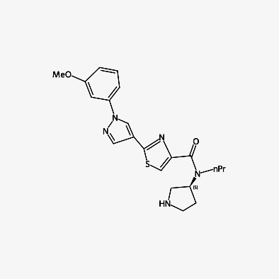 CCCN(C(=O)c1csc(-c2cnn(-c3cccc(OC)c3)c2)n1)[C@H]1CCNC1